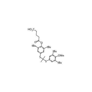 COc1c(C(C)(C)C)cc(SC(C)(C)Sc2cc(C(C)(C)C)c(OC(=O)CCCC(=O)O)c(C(C)(C)C)c2)cc1C(C)(C)C